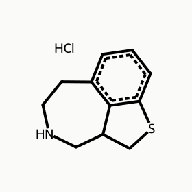 Cl.c1cc2c3c(c1)SCC3CNCC2